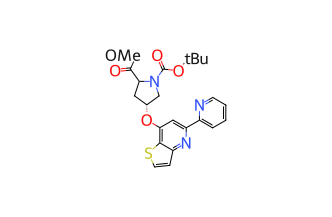 COC(=O)C1C[C@@H](Oc2cc(-c3ccccn3)nc3ccsc23)CN1C(=O)OC(C)(C)C